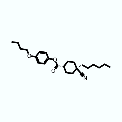 CCCCCC[C@]1(C#N)CC[C@H](C(=O)Oc2ccc(OCCCC)cc2)CC1